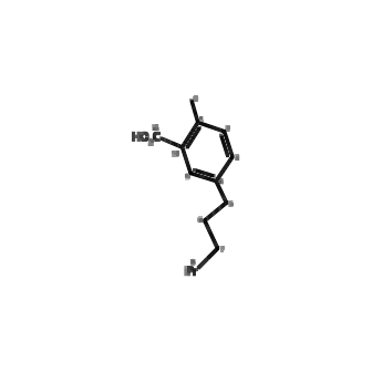 Cc1ccc(CCCC(C)C)cc1C(=O)O